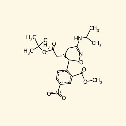 COC(=O)c1cc([N+](=O)[O-])ccc1C1C(=O)N=C(NC(C)C)CN1CC(=O)OC(C)(C)C